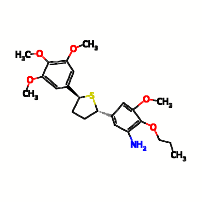 CCCOc1c(N)cc([C@@H]2CC[C@@H](c3cc(OC)c(OC)c(OC)c3)S2)cc1OC